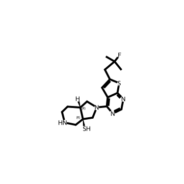 CC(C)(F)Cc1cc2c(N3C[C@H]4CCNC[C@@]4(S)C3)ncnc2s1